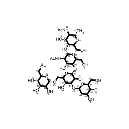 CC(=O)NC1[C@H](O[C@@H]2C(CO)O[C@@H](C)C(NC(C)=O)[C@H]2O)OC(CO)[C@@H](O[C@@H]2OC(CO[C@H]3OC(CO)[C@@H](O)[C@H](O)C3O)[C@@H](O)[C@H](O[C@@H]3CC(O)[C@H](O)C(CO)O3)C2O)[C@@H]1O